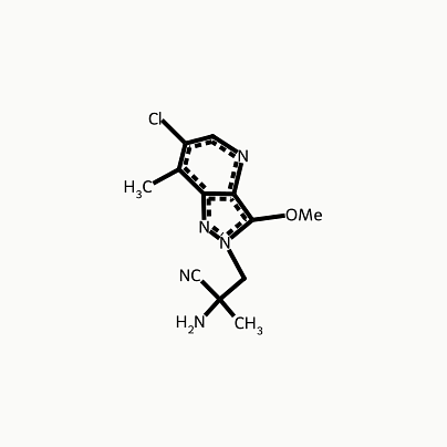 COc1c2ncc(Cl)c(C)c2nn1CC(C)(N)C#N